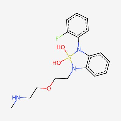 CNCCOCCN1c2ccccc2N(c2ccccc2F)S1(O)O